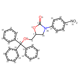 O=C1OC(COC(c2ccccc2)(c2ccccc2)c2ccccc2)CN1c1ccc([N+](=O)[O-])cc1